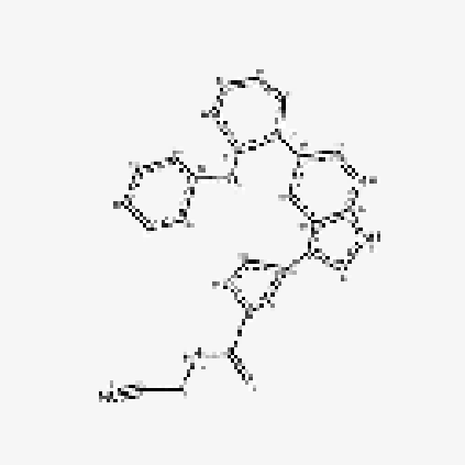 C#CCNC(=O)c1cc(-c2c[nH]c3ncc(-c4ccccc4Oc4ccccc4)cc23)co1